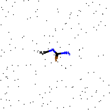 NC(=S)[N][SiH3]